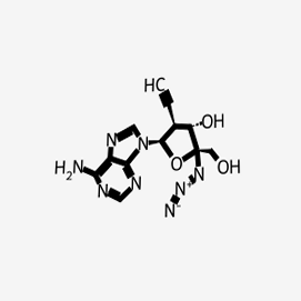 C#C[C@@H]1[C@H](n2cnc3c(N)ncnc32)O[C@@](CO)(N=[N+]=[N-])[C@H]1O